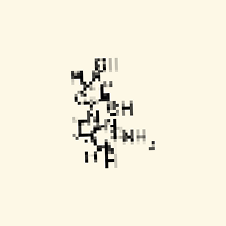 Nc1nc2c(ccn2C2O[C@@H]3C(O)C3[C@H]2O)c(=O)[nH]1